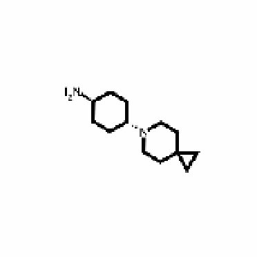 N[C@H]1CC[C@H](N2CCC3(CC2)CC3)CC1